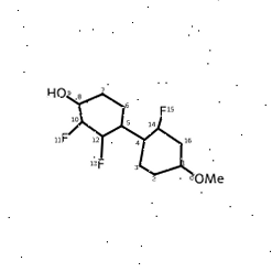 COC1CCC(C2CCC(O)C(F)C2F)C(F)C1